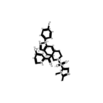 Cc1ncc(S(=O)(=O)N2CCC3=Cc4c(cnn4-c4ccc(F)cc4)CC3(C(=O)c3cc(C(F)(F)F)ccn3)C2)n1C